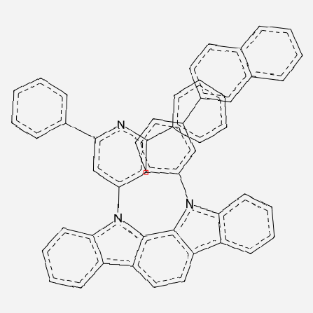 c1ccc(-c2cc(-n3c4ccccc4c4ccc5c6ccccc6n(-c6cccc(-c7ccc8ccccc8c7)c6)c5c43)cc(-c3ccccc3)n2)cc1